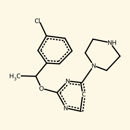 CC(Oc1nccc(N2CCNCC2)n1)c1cccc(Cl)c1